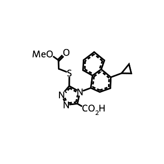 COC(=O)CSc1nnc(C(=O)O)n1-c1ccc(C2CC2)c2ccccc12